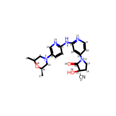 CC1CN(c2ccc(Nc3cc(N4CC[C@](O)(C#N)C4=O)ccn3)nc2)C[C@@H](C)O1